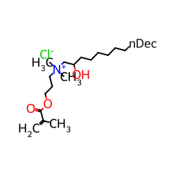 C=C(C)C(=O)OCCC[N+](C)(C)CC(O)CCCCCCCCCCCCCCCC.[Cl-]